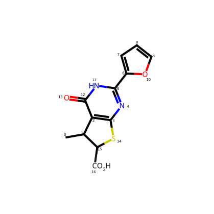 CC1c2c(nc(-c3ccco3)[nH]c2=O)SC1C(=O)O